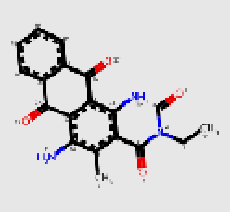 CCN(C=O)C(=O)c1c(C)c(N)c2c(c1N)C(=O)c1ccccc1C2=O